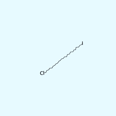 ClCCCCCCCCCCCCCCCCCCCCCCCCCI